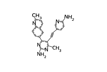 Cc1ccc2cc(-c3nc(N)nc(C)c3C#Cc3ccc(N)nc3)ccc2n1